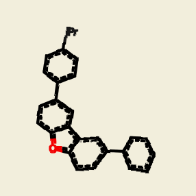 CC(C)c1ccc(-c2ccc3oc4ccc(-c5ccccc5)cc4c3c2)cc1